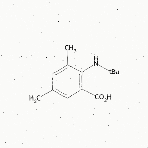 Cc1cc(C)c(NC(C)(C)C)c(C(=O)O)c1